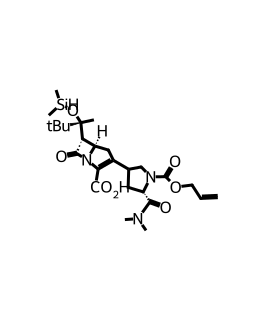 C=CCOC(=O)N1CC(C2=C(C(=O)O)N3C(=O)[C@H]([C@@](C)(O[SiH](C)C)C(C)(C)C)[C@H]3C2)C[C@H]1C(=O)N(C)C